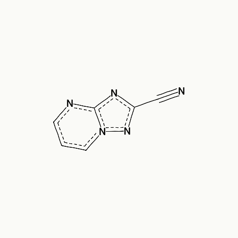 N#Cc1nc2ncccn2n1